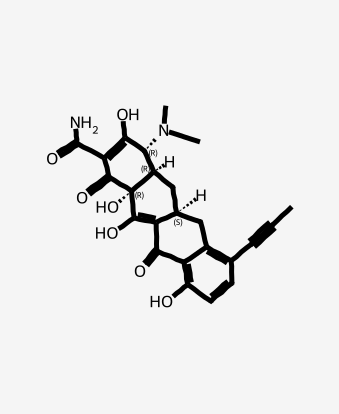 CC#Cc1ccc(O)c2c1C[C@@H]1C[C@@H]3[C@@H](N(C)C)C(O)=C(C(N)=O)C(=O)[C@]3(O)C(O)=C1C2=O